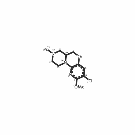 COc1nc2c(cc1Cl)OCC1CN(C(C)C)CCN21